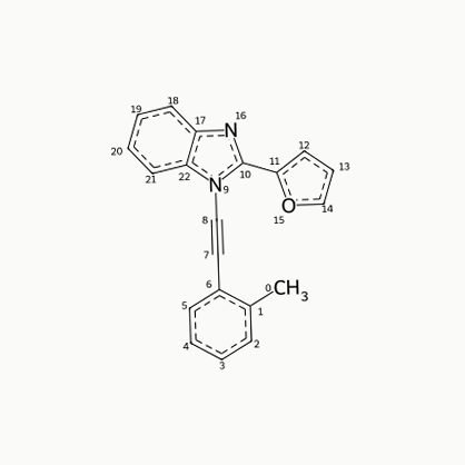 Cc1ccccc1C#Cn1c(-c2ccco2)nc2ccccc21